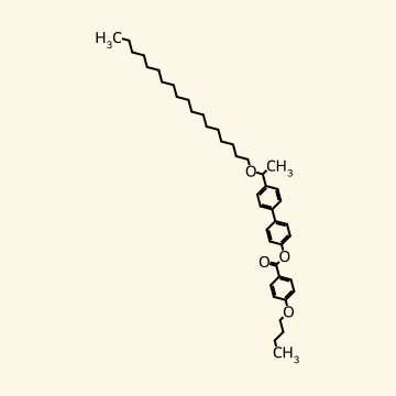 CCCCCCCCCCCCCCCCCCOC(C)c1ccc(-c2ccc(OC(=O)c3ccc(OCCCC)cc3)cc2)cc1